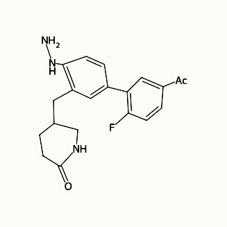 CC(=O)c1ccc(F)c(-c2ccc(NN)c(CC3CCC(=O)NC3)c2)c1